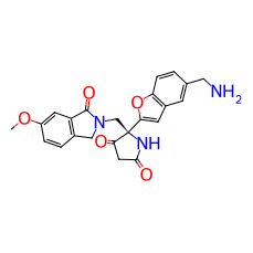 COc1ccc2c(c1)C(=O)N(C[C@@]1(c3cc4cc(CN)ccc4o3)NC(=O)CC1=O)C2